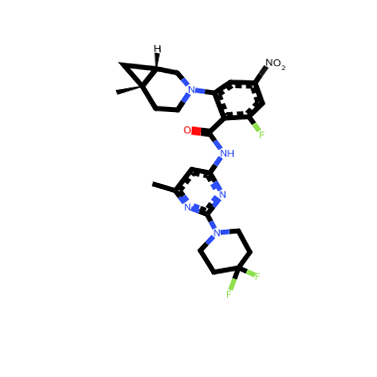 Cc1cc(NC(=O)c2c(F)cc([N+](=O)[O-])cc2N2CC[C@]3(C)C[C@@H]3C2)nc(N2CCC(F)(F)CC2)n1